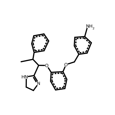 CC(c1ccccc1)C(Oc1ccccc1OCc1ccc(N)cc1)C1=NCCN1